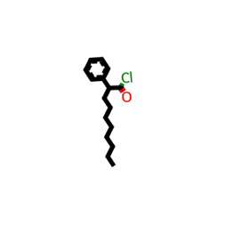 CCCCCCCCC(C(=O)Cl)c1ccccc1